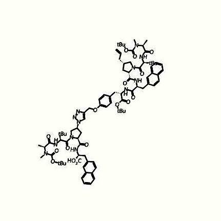 C=CC[C@H]1C[C@@H](C(=O)N[C@@H](Cc2ccc3ccccc3c2)C(=O)N[C@@H](Cc2ccc(OCc3cn([C@H]4C[C@@H](C(=O)N[C@@H](Cc5ccc6ccccc6c5)C(=O)O)N(C(=O)[C@@H](NC(=O)[C@H](C)N(C)C(=O)OC(C)(C)C)C(C)(C)C)C4)nn3)cc2)C(=O)OC(C)(C)C)N(C(=O)[C@@H](NC(=O)[C@H](C)N(C)C(=O)OC(C)(C)C)C(C)(C)C)C1